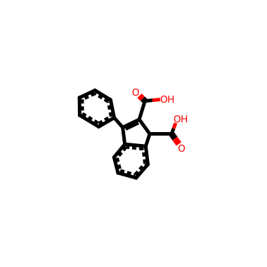 O=C(O)C1=C(c2ccccc2)c2ccccc2C1C(=O)O